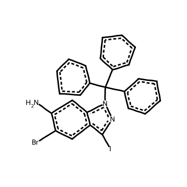 Nc1cc2c(cc1Br)c(I)nn2C(c1ccccc1)(c1ccccc1)c1ccccc1